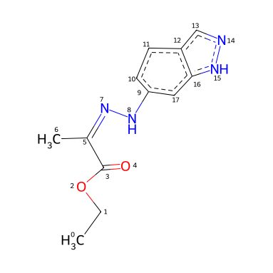 CCOC(=O)C(C)=NNc1ccc2cn[nH]c2c1